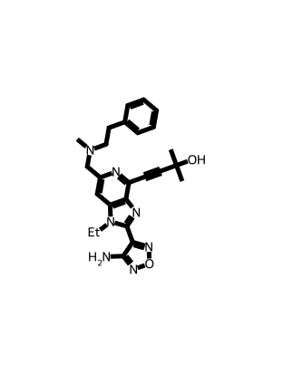 CCn1c(-c2nonc2N)nc2c(C#CC(C)(C)O)nc(CN(C)CCc3ccccc3)cc21